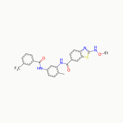 CCONc1nc2ccc(C(=O)Nc3cc(NC(=O)c4cccc(C(F)(F)F)c4)ccc3C)cc2s1